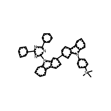 C[Si](C)(C)c1ccc(-n2c3ccccc3c3ccc(-c4ccc5c6ccccc6n(-c6nc(-c7ccccc7)nc(-c7ccccc7)n6)c5c4)cc32)cc1